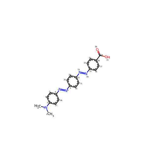 CN(C)c1ccc(N=Nc2ccc(N=Nc3ccc(C(=O)O)cc3)cc2)cc1